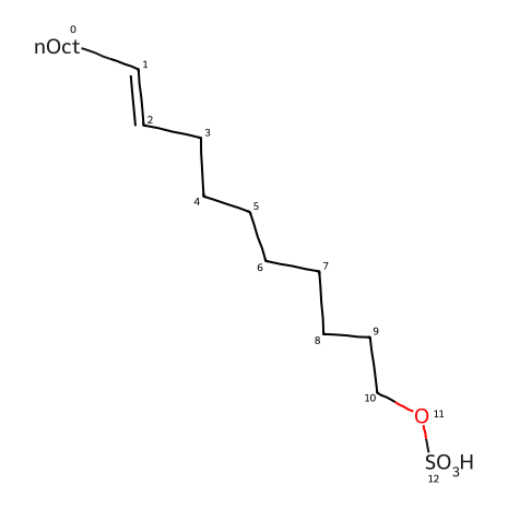 CCCCCCCCC=CCCCCCCCCOS(=O)(=O)O